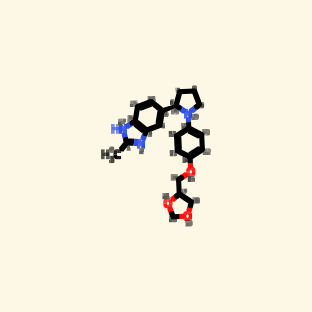 Cc1nc2cc([C@H]3CCCN3c3ccc(OCC4COCO4)cc3)ccc2[nH]1